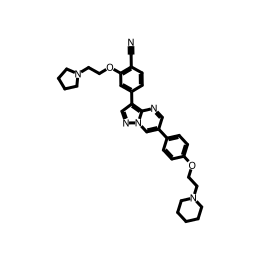 N#Cc1ccc(-c2cnn3cc(-c4ccc(OCCN5CCCCC5)cc4)cnc23)cc1OCCN1CCCC1